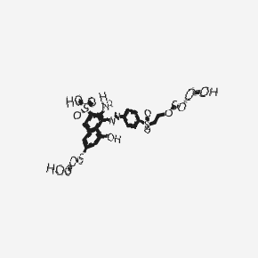 Nc1c(S(=O)(=O)O)cc2cc(SOOO)cc(O)c2c1/N=N/c1ccc(S(=O)(=O)CCOSOOO)cc1